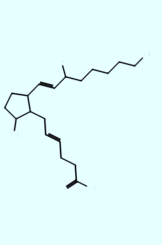 CCCCCCC(O)/C=C/C1CCC(O)C1C/C=C/CCC(=O)O